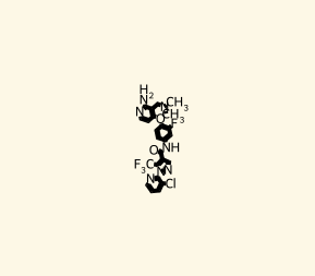 CN(C)Cc1c(Oc2ccc(NC(=O)c3cnn(-c4ncccc4Cl)c3C(F)(F)F)cc2F)ccnc1N